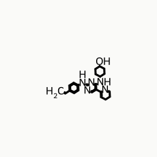 C=Cc1ccc(Nc2ncc(C3=CCCC=N3)c(N[C@H]3CC[C@H](O)CC3)n2)cc1